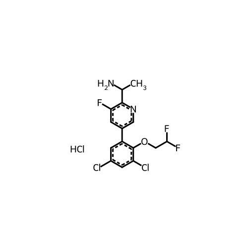 CC(N)c1ncc(-c2cc(Cl)cc(Cl)c2OCC(F)F)cc1F.Cl